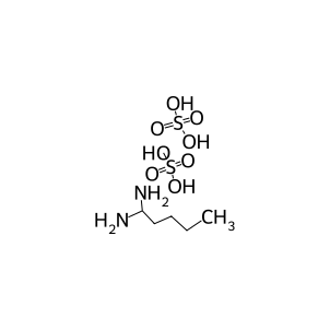 CCCCC(N)N.O=S(=O)(O)O.O=S(=O)(O)O